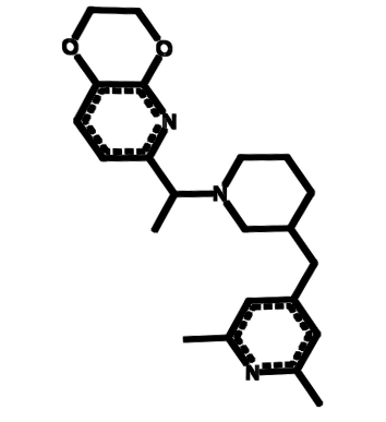 Cc1cc(CC2CCCN(C(C)c3ccc4c(n3)OCCO4)C2)cc(C)n1